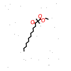 CCCCCCCCCCCC(=O)C(C)(C)C(=O)OCC